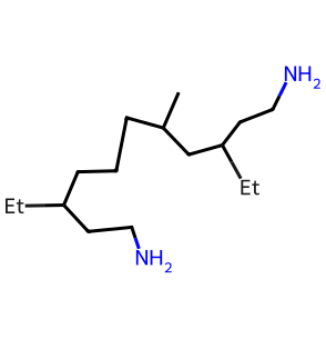 CCC(CCN)CCCC(C)CC(CC)CCN